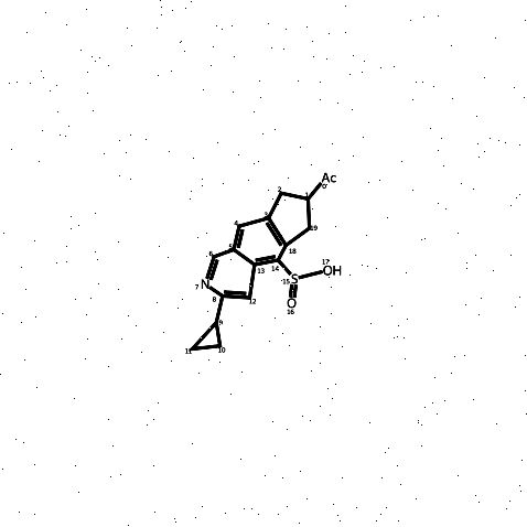 CC(=O)C1Cc2cc3cnc(C4CC4)cc3c(S(=O)O)c2C1